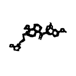 COc1ccc(CC(=O)Nc2cccc3c(=O)n(CCCN4CCCC4=O)ccc23)c(OC)c1